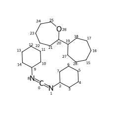 C(=NC1CCCCC1)=NC1CCCCC1.C1CCCC(C2CCCCCO2)CC1